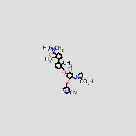 Cc1c(COc2cc(OCc3cncc(C#N)c3)c(CN3CCC[C@H]3C(=O)O)cc2Cl)cccc1-c1cccc(C(=O)N(C)C)c1C